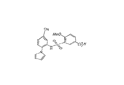 COc1ccc(C(=O)O)cc1S(=O)(=O)Nc1cc(C#N)ccc1-n1cccc1